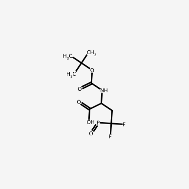 CC(C)(C)OC(=O)NC(CC(F)(F)P=O)C(=O)O